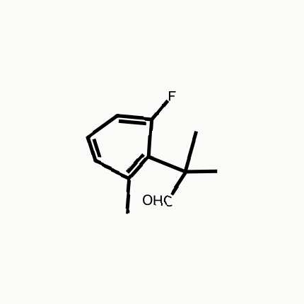 Cc1cccc(F)c1C(C)(C)C=O